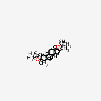 C[C@@]1(O[Si](C)(C)C)CC[C@H]2[C@H](CC[C@@H]3[C@@H]2CC[C@]2(C)C(O[Si](C)(C)C)=CC[C@@H]32)C1